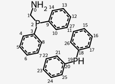 NCP(c1ccccc1)c1ccccc1.c1ccc(Pc2ccccc2)cc1